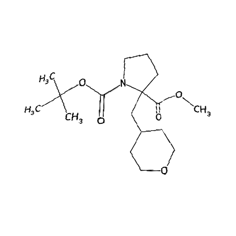 COC(=O)C1(CC2CCOCC2)CCCN1C(=O)OC(C)(C)C